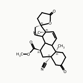 COC(=O)[C@@H]1C[C@]2(C#N)CC(=O)CC[C@]2(C)C2C=C[C@@]3(C)C(CC[C@@]34CCC(=O)O4)C21